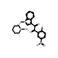 CN1CCCC[C@@H]1Cn1cc(C(=O)C(=O)c2cc([N+](=O)[O-])ccc2I)c2ccccc21